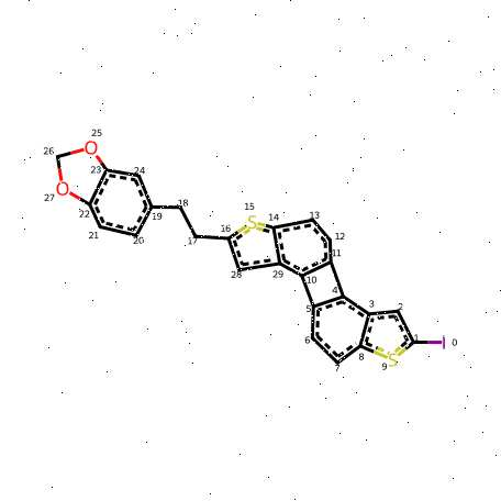 Ic1cc2c3c(ccc2s1)-c1c-3ccc2sc(CCc3ccc4c(c3)OCO4)cc12